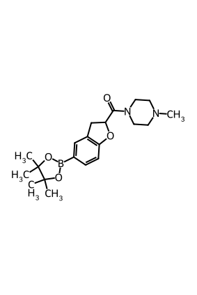 CN1CCN(C(=O)C2Cc3cc(B4OC(C)(C)C(C)(C)O4)ccc3O2)CC1